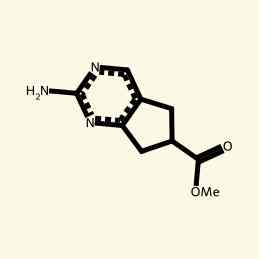 COC(=O)C1Cc2cnc(N)nc2C1